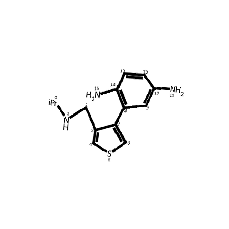 CC(C)NCc1cscc1-c1cc(N)ccc1N